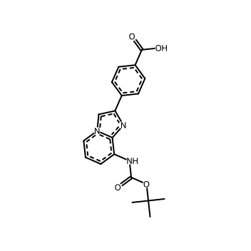 CC(C)(C)OC(=O)Nc1cccn2cc(-c3ccc(C(=O)O)cc3)nc12